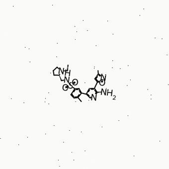 CCN1CCC[C@@H]1CNS(=O)(=O)c1ccc(C)c(-c2cnc(N)c(-c3cc(C)no3)c2)c1